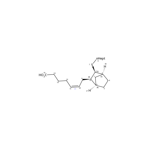 CCCCCCCS[C@H]1[C@H]2CC[C@H](C2)[C@H]1C/C=C\CCCC(=O)O